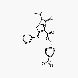 CC(C)C1C(=O)N2C(C(=O)OCc3ccc([N+](=O)[O-])cc3)=C(Sc3ccccc3)CC12